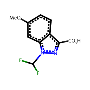 COc1ccc2c(C(=O)O)nn(C(F)F)c2c1